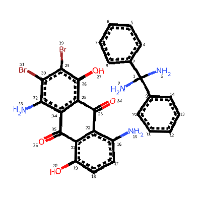 NC(N)(c1ccccc1)c1ccccc1.Nc1ccc(O)c2c1C(=O)c1c(O)c(Br)c(Br)c(N)c1C2=O